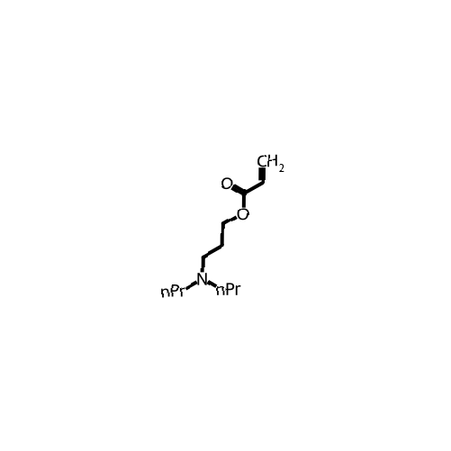 C=CC(=O)OCCCN(CCC)CCC